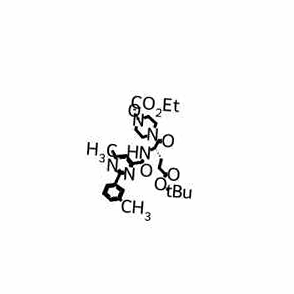 CCOC(=O)ON1CCN(C(=O)[C@H](CCC(=O)OC(C)(C)C)NC(=O)c2cc(C)nc(-c3cccc(C)c3)n2)CC1